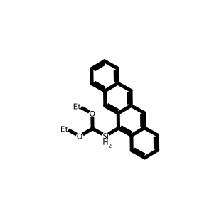 CCOC(OCC)[SiH2]c1c2ccccc2cc2cc3ccccc3cc12